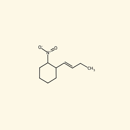 CC/C=C/C1CCCCC1[N+](=O)[O-]